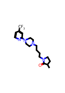 CC1CCN(CCCCN2CCN(c3cc(C(F)(F)F)ccn3)CC2)C1=O